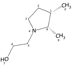 C[C@H]1CCN(CCO)[C@H]1C